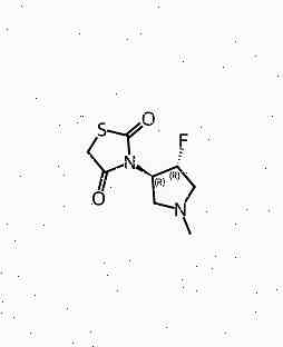 CN1C[C@@H](F)[C@H](N2C(=O)CSC2=O)C1